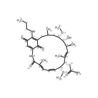 CCCNC1=C2CC(C)C[C@H](OC)[C@H](O)[C@@H](C)/C=C(\C)[C@H](OC(N)=O)[C@H](OC)/C=C\C=C(/C)C(=O)NC(=CC1=O)C2=O